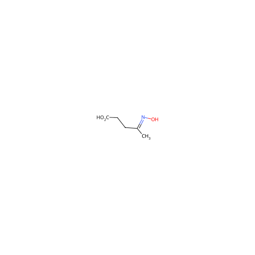 CC(CCC(=O)O)=NO